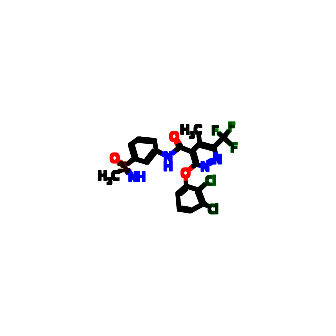 Cc1c(C(F)(F)F)nnc(Oc2cccc(Cl)c2Cl)c1C(=O)Nc1cccc(S(C)(=N)=O)c1